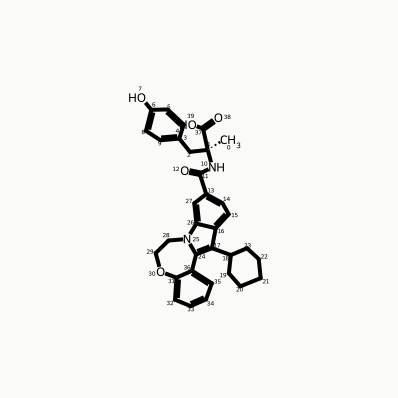 C[C@@](Cc1ccc(O)cc1)(NC(=O)c1ccc2c(C3CCCCC3)c3n(c2c1)CCOc1ccccc1-3)C(=O)O